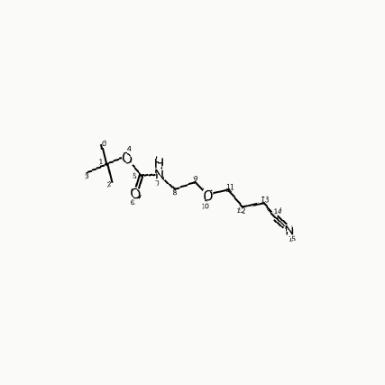 CC(C)(C)OC(=O)NCCOCCCC#N